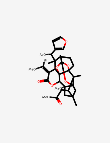 COC(=O)CC1C2(C)CC3(OC)C4OC(=O)/C(=C(\OC)C(C)C)C5C(C)(C(OC(C)=O)c6ccoc6)CCCC67OC(C)(OC546)OC3(C2)C17C